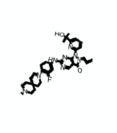 C=CCn1c(=O)c2cnc(Nc3ccc(N4CCC5(CCN(C)CC5)CC4)c(F)c3)nc2n1-c1cccc(C(C)(C)O)n1